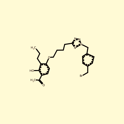 CCCc1c(OCCCCc2nnn(Cc3ccc(CBr)cc3)n2)ccc(C(C)=O)c1O